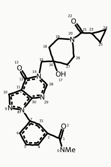 CNC(=O)c1cccc(-n2ncc3c(=O)n(CC4(O)CCN(C(=O)C5CC5)CC4)cnc32)c1